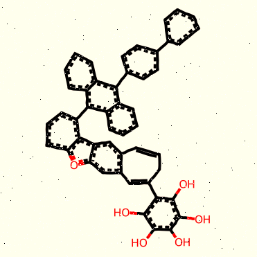 Oc1c(O)c(O)c(C2=Cc3cc4oc5cccc(-c6c7ccccc7c(-c7ccc(-c8ccccc8)cc7)c7ccccc67)c5c4cc3C=CC2)c(O)c1O